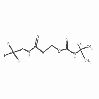 CC(C)(C)NC(=O)OCCC(=O)NCC(F)(F)F